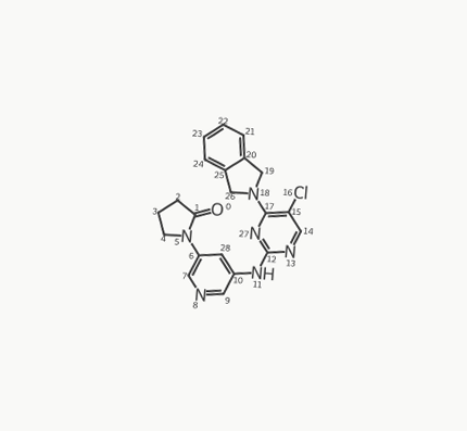 O=C1CCCN1c1cncc(Nc2ncc(Cl)c(N3Cc4ccccc4C3)n2)c1